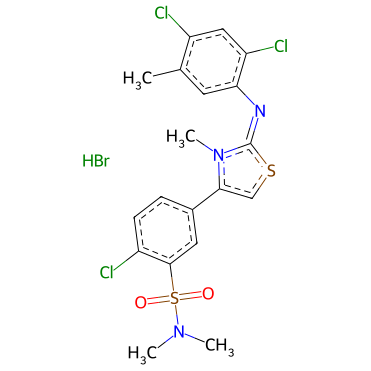 Br.Cc1cc(/N=c2/scc(-c3ccc(Cl)c(S(=O)(=O)N(C)C)c3)n2C)c(Cl)cc1Cl